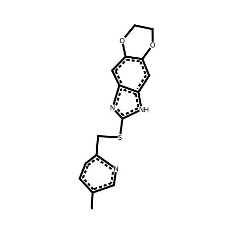 Cc1ccc(CSc2nc3cc4c(cc3[nH]2)OCCO4)nc1